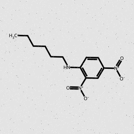 CCCCCCNc1ccc([N+](=O)[O-])cc1[N+](=O)[O-]